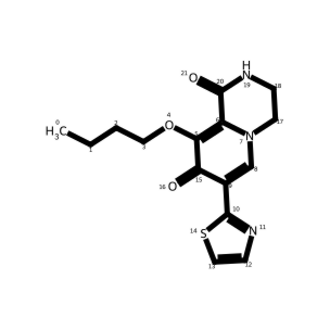 CCCCOc1c2n(cc(-c3nccs3)c1=O)CCNC2=O